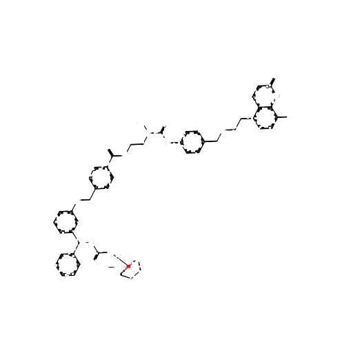 CC(C)N(CCOC(=O)c1ccc(COc2cccc([C@@H](NC(=O)O[C@H]3CN4CCC3CC4)c3ccccc3)c2)cc1)C(=O)Nc1ccc(CNC[C@H](O)c2ccc(O)c3[nH]c(=O)ccc23)cc1